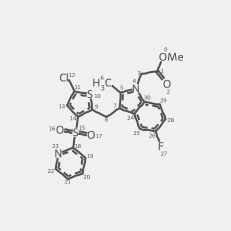 COC(=O)Cn1c(C)c(Cc2sc(Cl)cc2S(=O)(=O)c2ccccn2)c2cc(F)ccc21